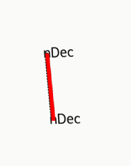 CCCCCCCCCCCCCCCCCCCCCCCCCCCCCCCCCCCCCCCCCCCCCCCCCCCCCCCCCCCCCCCCCCC